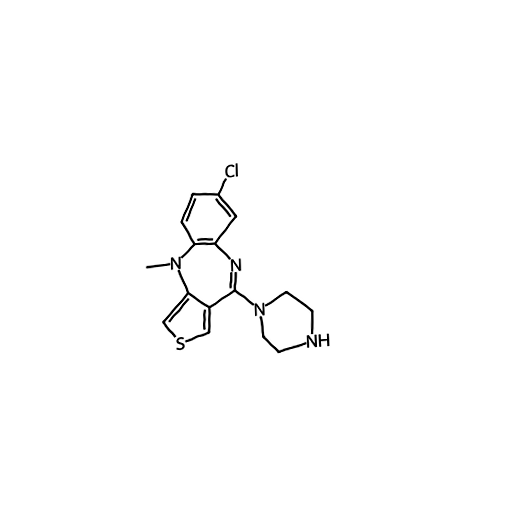 CN1c2ccc(Cl)cc2N=C(N2CCNCC2)c2cscc21